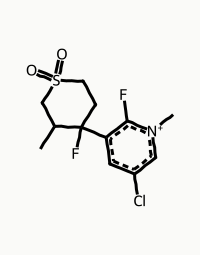 CC1CS(=O)(=O)CCC1(F)c1cc(Cl)c[n+](C)c1F